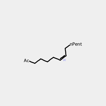 CCCCCC/C=C\CCCCC(C)=O